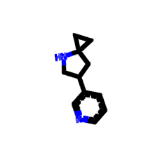 c1cncc(C2CNC3(CC3)C2)c1